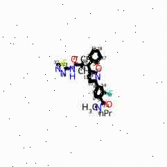 CCCN(C)C(=O)c1ccc(-c2ccc3c(n2)Oc2ccccc2[C@@H]3C(C)(C)C(=O)Nc2nncs2)cc1F